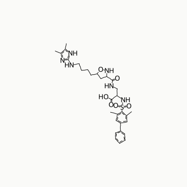 Cc1cc(-c2ccccc2)cc(C)c1S(=O)(=O)NC(CNC(=O)C1CC(CCCCNc2nc(C)c(C)[nH]2)ON1)C(=O)O